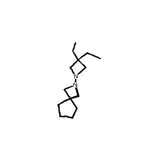 CCC1(CC)CN(N2CC3(CCCC3)C2)C1